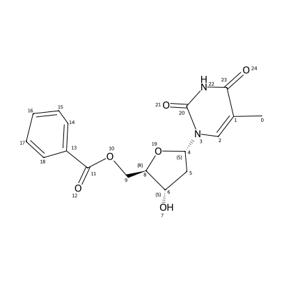 Cc1cn([C@@H]2C[C@H](O)[C@@H](COC(=O)c3ccccc3)O2)c(=O)[nH]c1=O